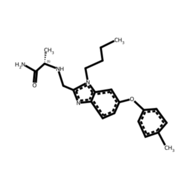 CCCCn1c(CN[C@@H](C)C(N)=O)nc2ccc(Oc3ccc(C)cc3)cc21